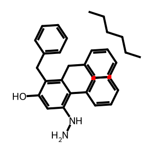 CCCCCC.NNc1cc(O)c(Cc2ccccc2)c(Cc2ccccc2)c1-c1ccccc1